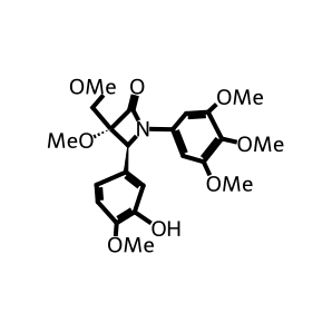 COC[C@@]1(OC)C(=O)N(c2cc(OC)c(OC)c(OC)c2)[C@H]1c1ccc(OC)c(O)c1